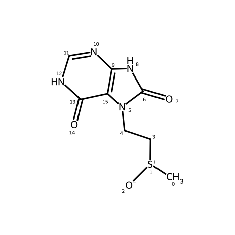 C[S+]([O-])CCn1c(=O)[nH]c2nc[nH]c(=O)c21